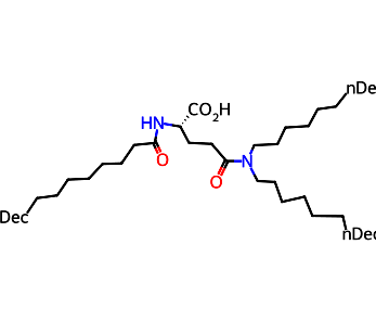 CCCCCCCCCCCCCCCCCC(=O)N[C@@H](CCC(=O)N(CCCCCCCCCCCCCCCC)CCCCCCCCCCCCCCCC)C(=O)O